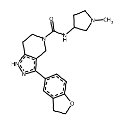 CN1CCC(NC(=O)N2CCc3[nH]nc(-c4ccc5c(c4)CCO5)c3C2)C1